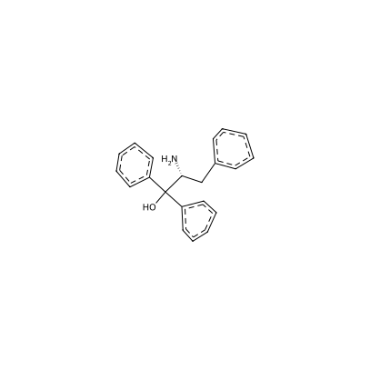 N[C@H](Cc1ccccc1)C(O)(c1ccccc1)c1ccccc1